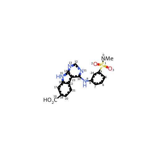 CNS(=O)(=O)c1cccc(Nc2ncnc3[nH]c4cc(C(=O)O)ccc4c23)c1